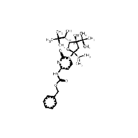 C[SiH](C)[C@]1(n2ccc(NC(=O)OCc3ccccc3)nc2=O)C[C@@](O)(C(C)(C)C)[C@@H](C(O)C(C)(C)C)O1